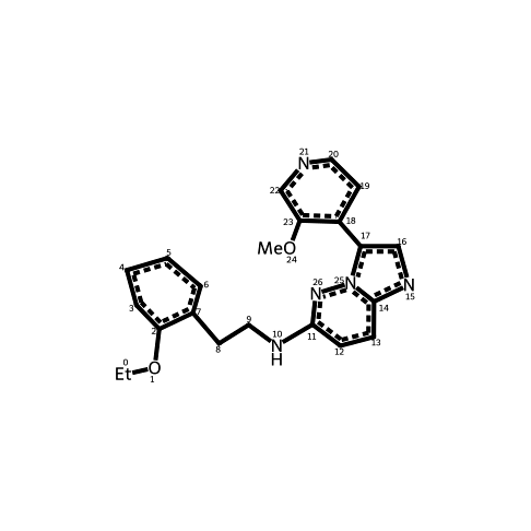 CCOc1ccccc1CCNc1ccc2ncc(-c3ccncc3OC)n2n1